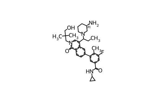 CCC(c1cn(CC(C)(C)CO)c(=O)c2ccc(-c3cc(C(=O)NC4CC4)cc(F)c3C)cc12)N1CCC[C@@H](N)C1